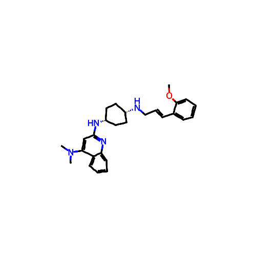 COc1ccccc1C=CCN[C@H]1CC[C@@H](Nc2cc(N(C)C)c3ccccc3n2)CC1